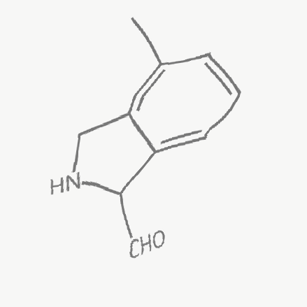 Cc1cccc2c1CNC2C=O